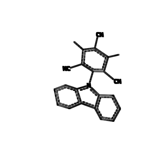 Cc1c(C#N)c(C)c(C#N)c(-n2c3ccccc3c3ccccc32)c1C#N